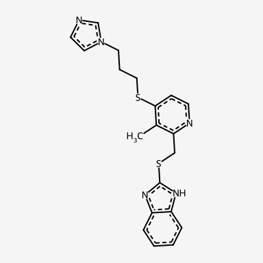 Cc1c(SCCCn2ccnc2)ccnc1CSc1nc2ccccc2[nH]1